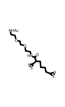 CC(=O)NCCOCCOCCNC(=O)C(CCCCC1SS1)C1SS1